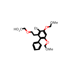 CCc1c(OCOC)cc(OCOC)c(-c2ccccc2)c1CCOCC(=O)O